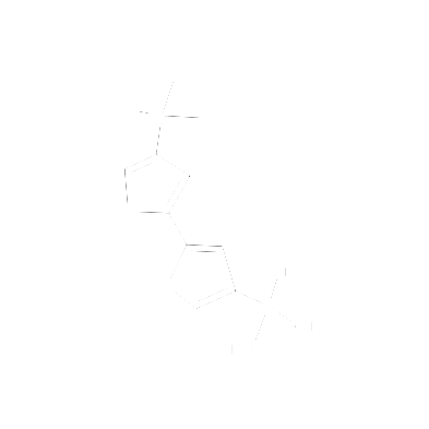 [CH3][Sn]([CH3])([CH3])[c]1csc(-c2c[c]([Sn]([CH3])([CH3])[CH3])cs2)c1